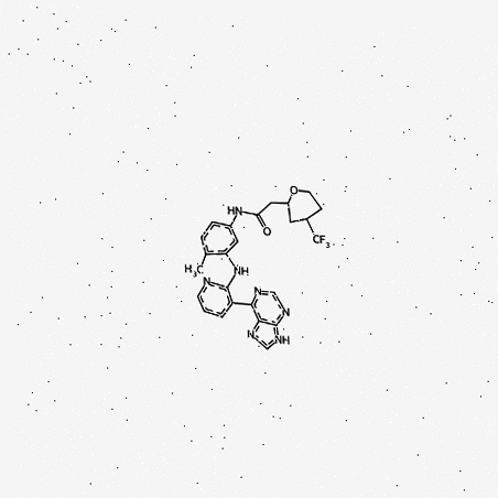 Cc1ccc(NC(=O)CC2CC(C(F)(F)F)CCO2)cc1Nc1ncccc1-c1ncnc2[nH]cnc12